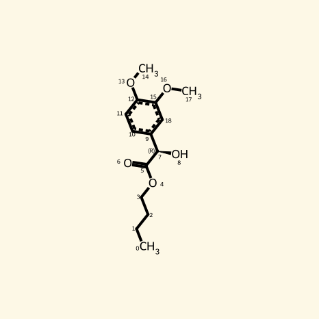 CCCCOC(=O)[C@H](O)c1ccc(OC)c(OC)c1